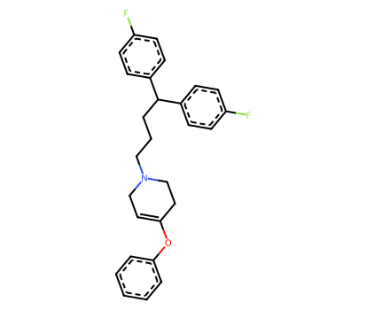 Fc1ccc(C(CCCN2CC=C(Oc3ccccc3)CC2)c2ccc(F)cc2)cc1